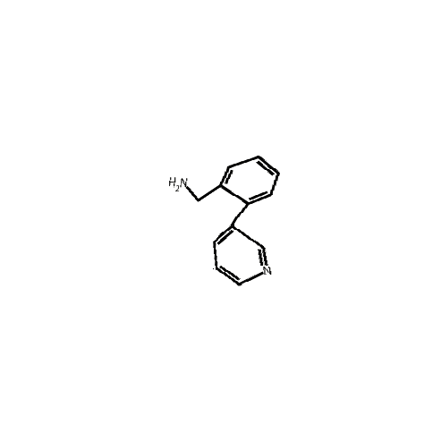 NCc1ccccc1-c1c[c]cnc1